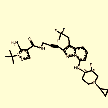 CC(C)(C)n1ncc(C(=O)NCC#Cc2nn3c(N[C@@H]4CCN(C5CC5)C[C@@H]4F)cccc3c2CC(F)(F)F)c1N